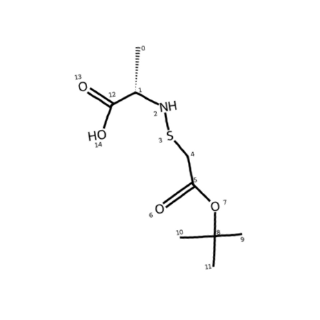 C[C@H](NSCC(=O)OC(C)(C)C)C(=O)O